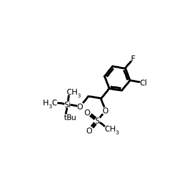 CC(C)(C)[Si](C)(C)OCC(OS(C)(=O)=O)c1ccc(F)c(Cl)c1